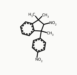 CC1(C)c2ccccc2C(C)(c2ccc([N+](=O)[O-])cc2)C1[N+](=O)[O-]